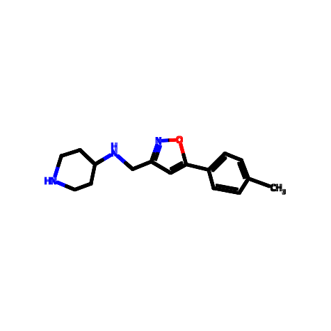 Cc1ccc(-c2cc(CNC3CCNCC3)no2)cc1